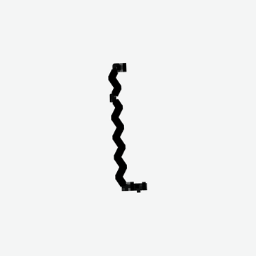 CCCCCCCCCCCCCCCSCCO